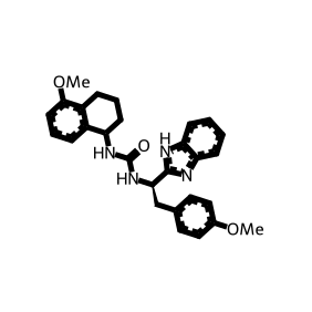 COc1ccc(C[C@@H](NC(=O)NC2CCCc3c(OC)cccc32)c2nc3ccccc3[nH]2)cc1